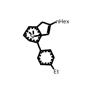 CCCCCCC1=C2c3c(ccc(c3-c3ccc(CC)cc3)[Si]2(C)C)[CH]1